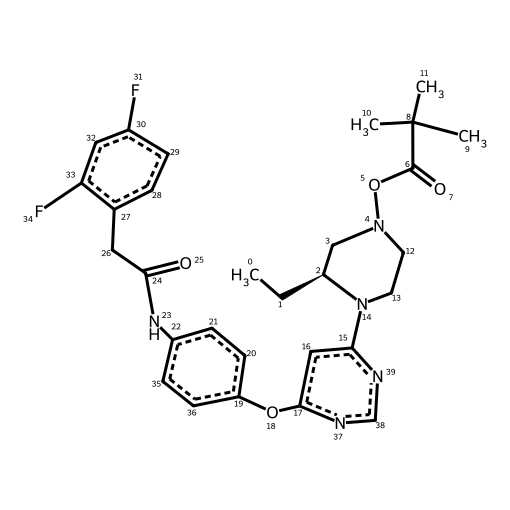 CC[C@H]1CN(OC(=O)C(C)(C)C)CCN1c1cc(Oc2ccc(NC(=O)Cc3ccc(F)cc3F)cc2)ncn1